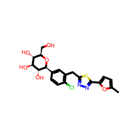 Cc1ccc(-c2nnc(Cc3cc([C@@H]4O[C@H](CO)[C@@H](O)[C@H](O)[C@H]4O)ccc3Cl)s2)o1